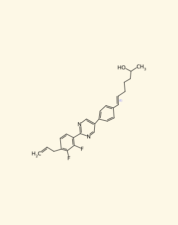 C=CCc1ccc(-c2ncc(-c3ccc(/C=C/CCCC(C)O)cc3)cn2)c(F)c1F